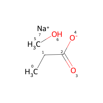 CCC(=O)[O-].CO.[Na+]